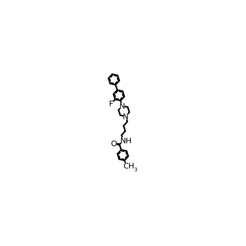 Cc1ccc(C(=O)NCCCCN2CCN(c3ccc(-c4ccccc4)cc3F)CC2)cc1